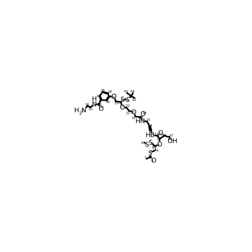 CSS[C@@H](CSC(C)=O)OC1C(BC#CCNC(=O)COCCOC(COc2cccc(C(=O)NCCN)c2)SSC(C)(C)C)OC1CO